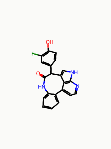 O=C1Nc2ccccc2-c2ccnc3[nH]cc(c23)C1c1ccc(O)c(F)c1